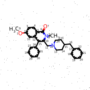 COc1ccc2c(=O)n(C)c(CN3CCC(Cc4ccccc4)CC3)c(-c3ccccc3)c2c1